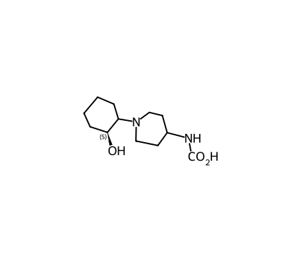 O=C(O)NC1CCN(C2CCCC[C@@H]2O)CC1